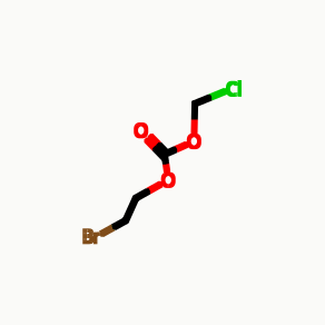 O=C(OCCl)OCCBr